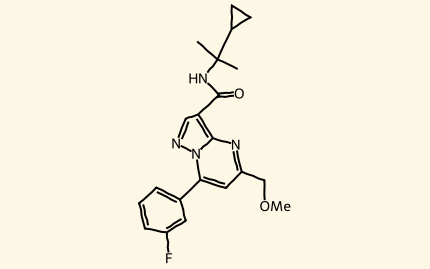 COCc1cc(-c2cccc(F)c2)n2ncc(C(=O)NC(C)(C)C3CC3)c2n1